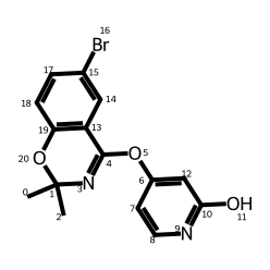 CC1(C)N=C(Oc2ccnc(O)c2)c2cc(Br)ccc2O1